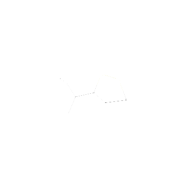 CC(=O)C(C)C1CCSS1